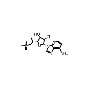 C=P(C)(C)CC(C)[C@H]1O[C@@H](n2cnc3c(N)ccnc32)[C@H](Cl)[C@@H]1O